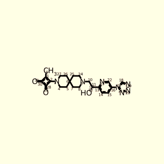 Cc1c(N2CCC3(CCN(C[C@H](O)c4ccc(-n5cnnn5)cn4)CC3)CC2)c(=O)c1=O